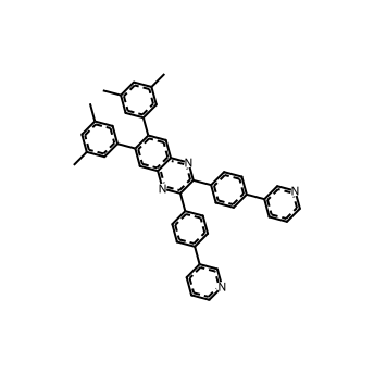 Cc1cc(C)cc(-c2cc3nc(-c4ccc(-c5cccnc5)cc4)c(-c4ccc(-c5cccnc5)cc4)nc3cc2-c2cc(C)cc(C)c2)c1